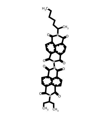 CCCCCC(C)N1C(=O)c2ccc3c4c(ccc(c24)C1=O)C(=O)N(N1C(=O)c2ccc4c5c(ccc(c25)C1=O)C(=O)N(C(CC)CC)C4=O)C3=O